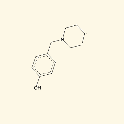 Oc1ccc(CN2CC[CH]CC2)cc1